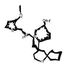 COc1ccsc1CNCCC1(c2ccc(O)cn2)CCOC2(CCCC2)C1